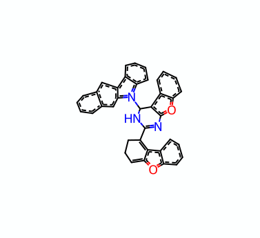 C1=c2oc3ccccc3c2=C(C2=Nc3oc4ccccc4c3C(n3c4ccccc4c4cc5ccccc5cc43)N2)CC1